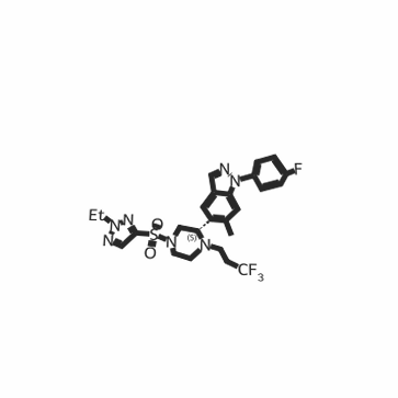 CCn1ncc(S(=O)(=O)N2CCN(CCC(F)(F)F)[C@@H](c3cc4cnn(-c5ccc(F)cc5)c4cc3C)C2)n1